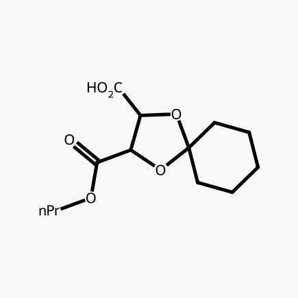 CCCOC(=O)C1OC2(CCCCC2)OC1C(=O)O